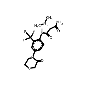 CN(C)[C@H](C(N)=O)C(=O)Nc1ccc(N2CCOCC2=O)cc1C(F)(F)F